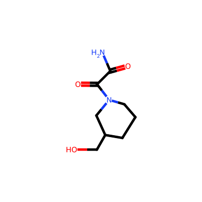 NC(=O)C(=O)N1CCCC(CO)C1